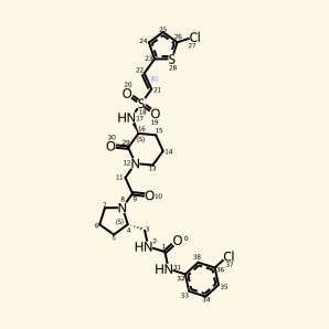 O=C(NC[C@@H]1CCCN1C(=O)CN1CCC[C@H](NS(=O)(=O)/C=C/c2ccc(Cl)s2)C1=O)Nc1cccc(Cl)c1